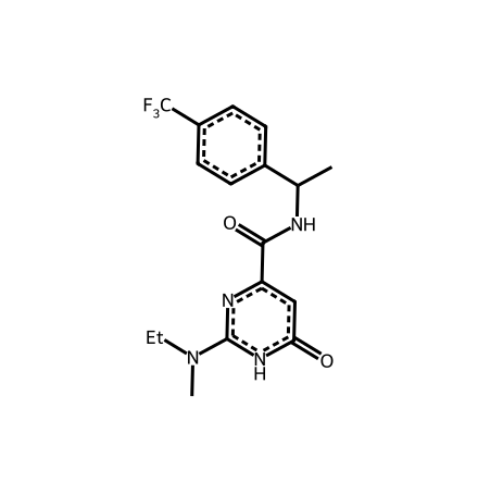 CCN(C)c1nc(C(=O)NC(C)c2ccc(C(F)(F)F)cc2)cc(=O)[nH]1